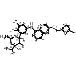 Cc1cnc(COc2cnc3c(Nc4cc(F)c(F)c([C@@]5(C)N=C(N)S[C@](C)(C(F)F)C5C)c4)nccc3n2)o1